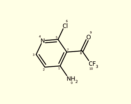 Nc1ccnc(Cl)c1C(=O)C(F)(F)F